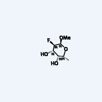 CO[C@H]1O[C@H](C)[C@H](O)[C@H](O)[C@H]1F